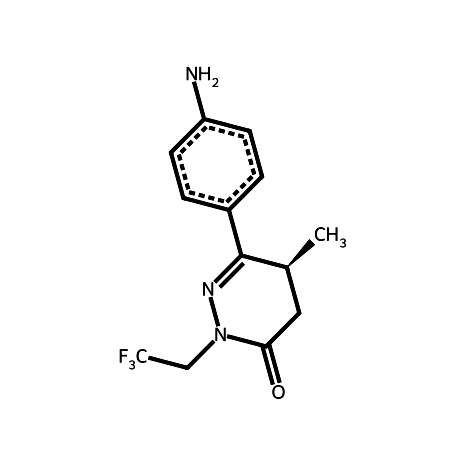 C[C@H]1CC(=O)N(CC(F)(F)F)N=C1c1ccc(N)cc1